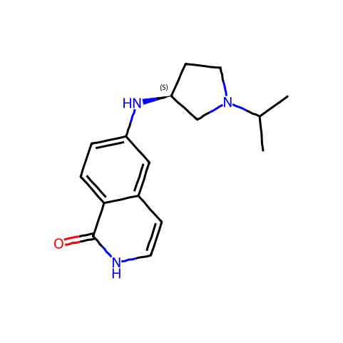 CC(C)N1CC[C@H](Nc2ccc3c(=O)[nH]ccc3c2)C1